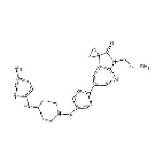 NCCN1C(=O)C2(CC2)c2cc(-c3ccc(SN4CCC(Nc5ccc(C(F)(F)F)cn5)CC4)cc3)cnc21